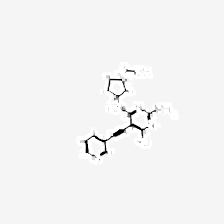 Nc1nc(Cl)c(C#Cc2cccnc2)c(N[C@H]2CC[C@@H](CO)C2)n1